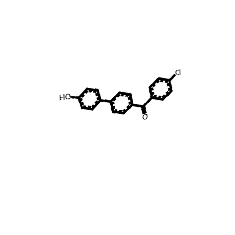 O=C(c1ccc(Cl)cc1)c1ccc(-c2ccc(O)cc2)cc1